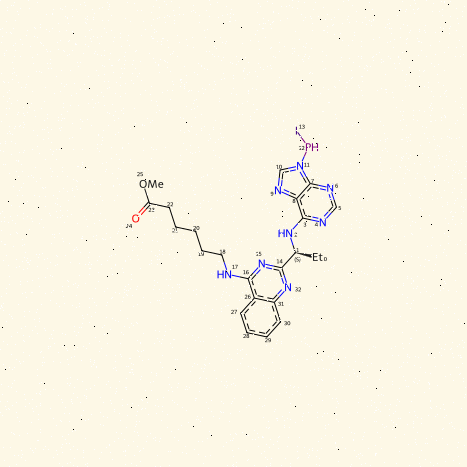 CC[C@H](Nc1ncnc2c1ncn2PI)c1nc(NCCCCCC(=O)OC)c2ccccc2n1